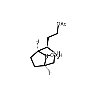 CC(=O)OCC[C@H]1NC[C@H]2CC[C@@H]1N2C(=O)O